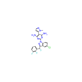 Cn1nccc1-c1c(N)nc(-n2nc(C(F)c3cccc(F)c3F)c3cc(Cl)ccc32)nc1N